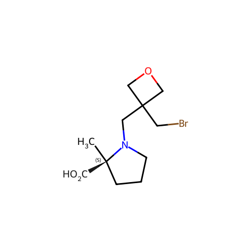 C[C@@]1(C(=O)O)CCCN1CC1(CBr)COC1